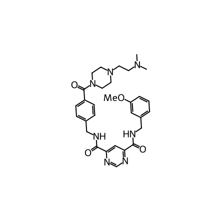 COc1cccc(CNC(=O)c2cc(C(=O)NCc3ccc(C(=O)N4CCN(CCN(C)C)CC4)cc3)ncn2)c1